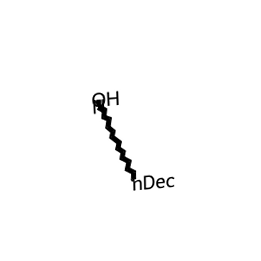 CCCCCCCCCCCCCCCCCCCCCCCC=NO